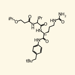 CC(C)OCCC(=O)NC(C(=O)N[C@@H](CCCNC(N)=O)C(=O)Nc1ccc(CC(C)(C)C)cc1)C(C)C